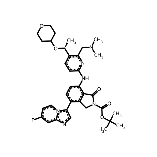 C[C@H](OC1CCOCC1)c1ccc(Nc2ccc(-c3cnc4cc(F)ccn34)c3c2C(=O)N(C(=O)OC(C)(C)C)C3)nc1CN(C)C